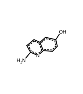 Nc1ccc2cc(O)ccc2n1